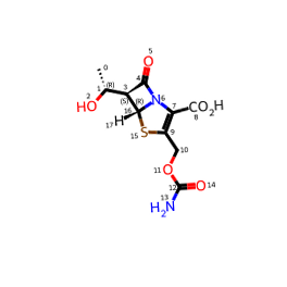 C[C@@H](O)[C@H]1C(=O)N2C(C(=O)O)=C(COC(N)=O)S[C@H]12